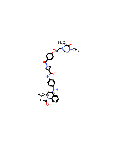 CCC(=O)N1c2ccccc2[C@H](Nc2ccc(NC(=O)C3CN(C(=O)c4ccc(OCCN5CCN(C)C(=O)[C@H]5C)cc4)C3)cc2)C[C@@H]1C